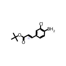 Bc1ccc(/C=C/C(=O)OC(C)(C)C)cc1Cl